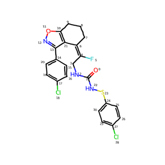 O=C(NC/C(F)=C1/CCCc2onc(-c3ccc(Cl)cc3)c21)NSc1ccc(Cl)cc1